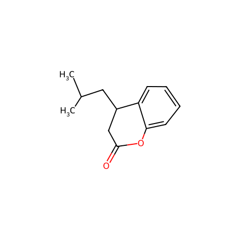 CC(C)CC1CC(=O)Oc2ccccc21